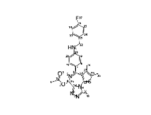 CC(=O)O[C@@H]1N=C(c2ccc(NCc3ccc(F)cc3)cc2)c2c(sc(C)c2C)-n2c(C)nnc21